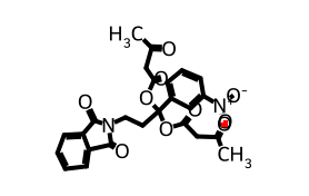 CC(=O)CC(=O)OC(CCN1C(=O)c2ccccc2C1=O)(OC(=O)CC(C)=O)c1cccc([N+](=O)[O-])c1